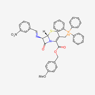 COc1ccc(COC(=O)C2=C(C[PH](c3ccccc3)(c3ccccc3)c3ccccc3)CS[C@H]3[C@H](N=Cc4cccc([N+](=O)[O-])c4)C(=O)N23)cc1